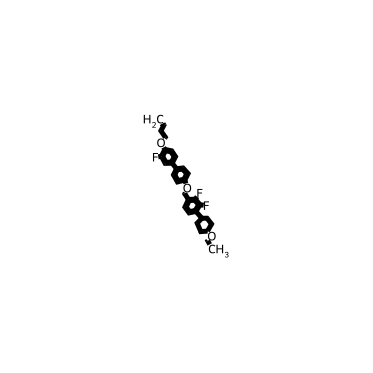 C=CCCOc1ccc(-c2ccc(OCc3ccc(C4CCC(OCC)CC4)c(F)c3F)cc2)cc1F